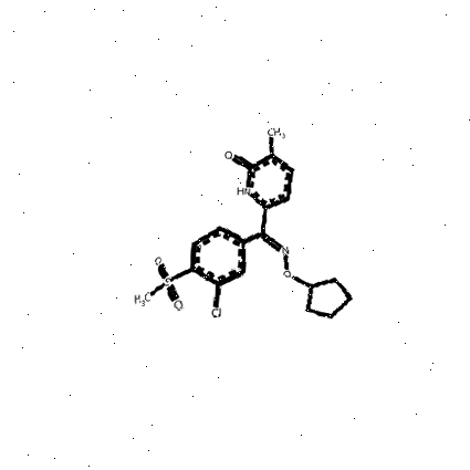 Cc1ccc(C(=NOC2CCCC2)c2ccc(S(C)(=O)=O)c(Cl)c2)[nH]c1=O